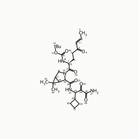 C/C=C/C(=O)CC[C@H](NC(=O)OC(C)(C)C)C(=O)N1CC2C(C1C(=O)NC(C(=O)C(N)=O)C1CCC1)C2(C)C